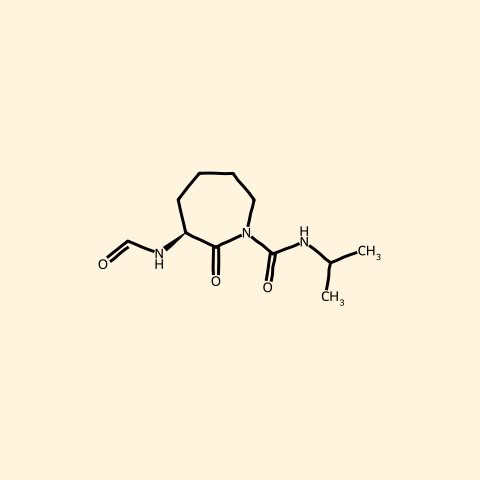 CC(C)NC(=O)N1CCCC[C@H](NC=O)C1=O